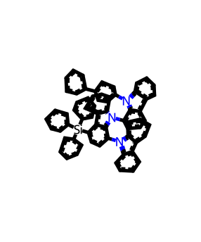 c1ccc(-c2ccc(-n3c4ccccc4c4cccc(-n5c6ccccc6c6c([Si](c7ccccc7)(c7ccccc7)c7ccccc7)ccc(-n7c8ccccc8c8ccccc87)c65)c43)cc2)cc1